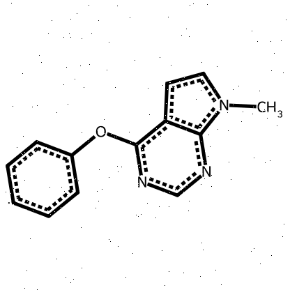 Cn1ccc2c(Oc3cc[c]cc3)ncnc21